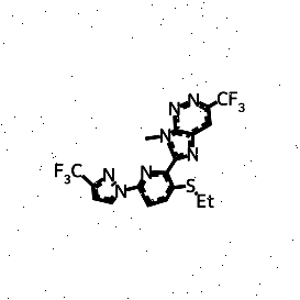 CCSc1ccc(-n2ccc(C(F)(F)F)n2)nc1-c1nc2cc(C(F)(F)F)nnc2n1C